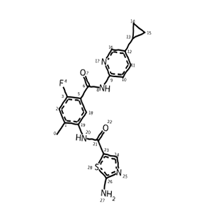 Cc1cc(F)c(C(=O)Nc2ccc(C3CC3)cn2)cc1NC(=O)c1cnc(N)s1